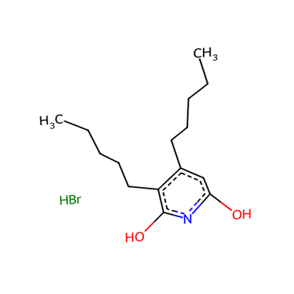 Br.CCCCCc1cc(O)nc(O)c1CCCCC